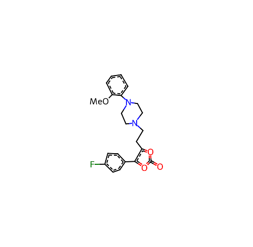 COc1ccccc1N1CCN(CCc2oc(=O)oc2-c2ccc(F)cc2)CC1